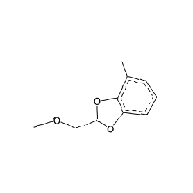 COCC1Oc2cccc(C)c2O1